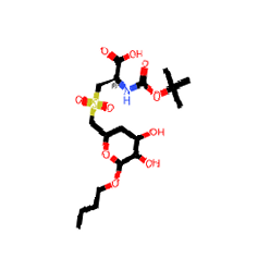 CCCCOC1OC(CS(=O)(=O)C[C@H](NC(=O)OC(C)(C)C)C(=O)O)CC(O)C1O